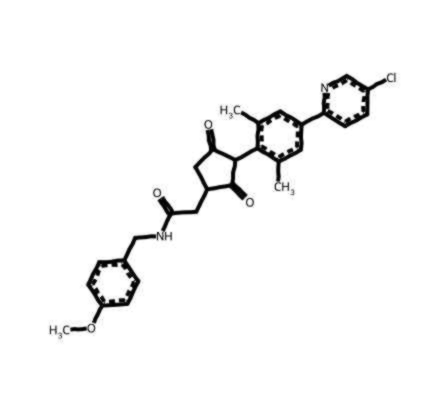 COc1ccc(CNC(=O)CC2CC(=O)C(c3c(C)cc(-c4ccc(Cl)cn4)cc3C)C2=O)cc1